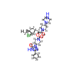 Bc1ccc(C[C@@H](OC(=O)N2CCC(n3nc(-c4ccccc4)[nH]c3=O)CC2)C(=O)N2CCC(N3CCNCC3)CC2)cc1Br